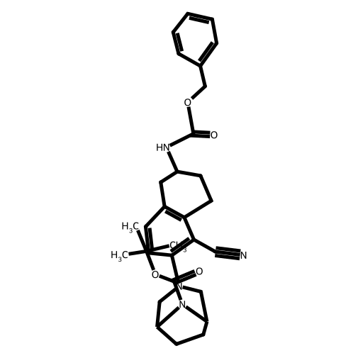 CC(C)(C)OC(=O)N1C2CCC1CN(c1ccc3c(c1C#N)CCC(NC(=O)OCc1ccccc1)C3)C2